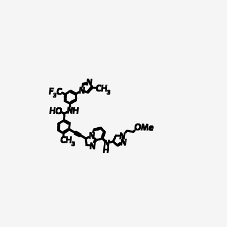 COCCN1CC(NC2=CC=CN3C2=NCC3C#Cc2cc(C(O)Nc3cc(-n4cnc(C)c4)cc(C(F)(F)F)c3)ccc2C)C=N1